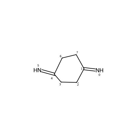 N=C1[CH]CC(=N)CC1